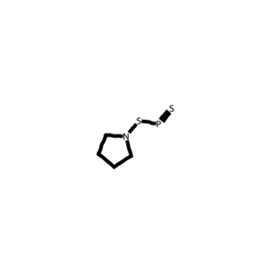 S=PSN1CCCC1